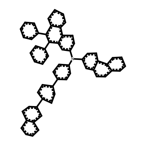 c1ccc(-c2c(-c3ccccc3)c3cc(N(c4ccc(-c5ccc(-c6ccc7ccccc7c6)cc5)cc4)c4ccc5c(ccc6ccccc65)c4)ccc3c3ccccc23)cc1